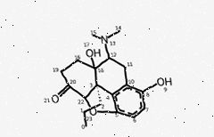 CCC[C@@]12c3c4ccc(O)c3CC(N(C)C)C1(O)CCC(=O)C2O4